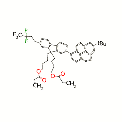 C=CC(=O)OCCCCC1(CCCCOC(=O)C=C)c2cc(CCC(F)(F)C(F)(F)F)ccc2-c2ccc(-c3ccc4ccc5cc(C(C)(C)C)cc6ccc3c4c56)cc21